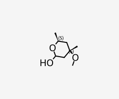 CO[C@]1(C)CC(O)O[C@@H](C)C1